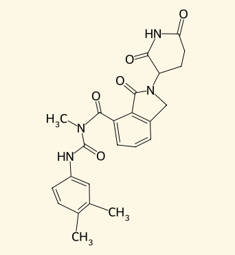 Cc1ccc(NC(=O)N(C)C(=O)c2cccc3c2C(=O)N(C2CCC(=O)NC2=O)C3)cc1C